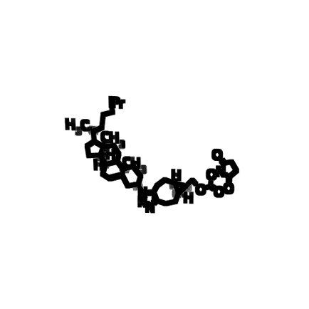 CC(C)CCC[C@@H](C)C1CC[C@H]2[C@@H]3CC=C4C[C@@H](n5nnc6c5CC[C@@H]5[C@H](CC6)[C@@H]5COC(=O)ON5C(=O)CCC5=O)CC[C@]4(C)C3CC[C@]12C